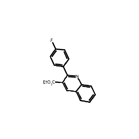 CCOC(=O)c1cc2ccccc2nc1-c1ccc(F)cc1